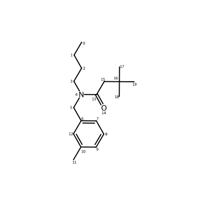 CCCCN(Cc1cccc(C)c1)C(=O)CC(C)(C)C